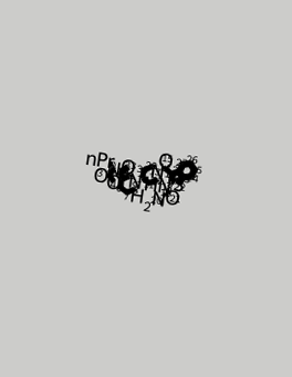 CCCN1C(=O)OC2(CCCN(C3CCN(C(=O)c4c(NC(N)=O)sc5ccccc45)CC3)C2)C1=O